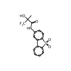 CC(O)(C(=O)Nc1ccc2c(c1)-c1ccccc1S2(=O)=O)C(F)(F)F